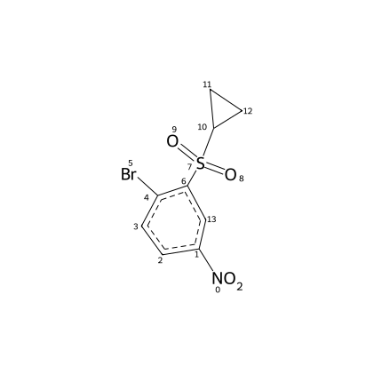 O=[N+]([O-])c1ccc(Br)c(S(=O)(=O)C2CC2)c1